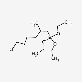 CCO[Si](CC(C)CCCCCl)(OCC)OCC